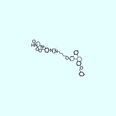 C[C@@H]1CN(c2ccc3c(c2)CN(C2CCC(=O)NC2=O)C3=O)C[C@H](C)N1CCCCCOC1=CCC([C@@H]2c3ccc(OCc4ccccc4)cc3CC[C@@H]2c2ccccc2)C=C1